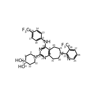 OS1(O)CCN(c2nc3c(c(Nc4ccc(C(F)(F)F)cc4)n2)CCN(c2ncccc2C(F)(F)F)CC3)CC1